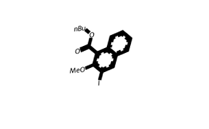 CCCCOC(=O)c1c(OC)c(I)cc2ccccc12